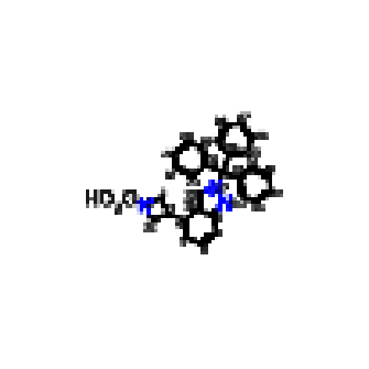 O=C(O)N1CC(c2cccc3nn(C(c4ccccc4)(c4ccccc4)c4ccccc4)cc23)C1